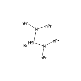 CCCN(CCC)[SiH](Br)N(CCC)CCC